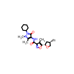 Cc1c(C(=O)Nc2c(C)n(C)n(C3CCCCC3)c2=O)noc1[C@@H]1C[C@@H](C(C)C)CO1